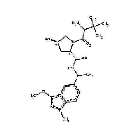 COc1nn(C)c2ccc(C(C)NC(=O)[C@@H]3C[C@@H](O)CN3C(=O)C(N)C(C)(C)C)cc12